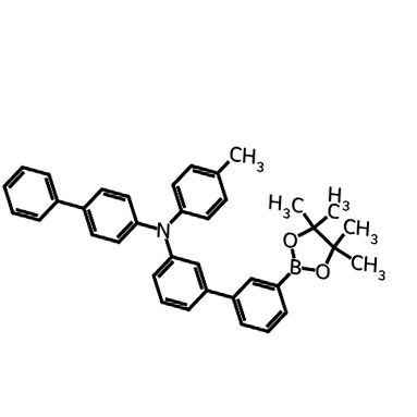 Cc1ccc(N(c2ccc(-c3ccccc3)cc2)c2cccc(-c3cccc(B4OC(C)(C)C(C)(C)O4)c3)c2)cc1